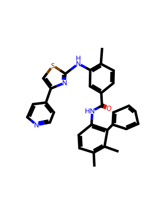 Cc1ccc(C(=O)Nc2ccc(C)c(C)c2-c2ccccc2)cc1Nc1nc(-c2ccncc2)cs1